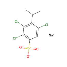 CC(C)c1c(Cl)cc(S(=O)(=O)[O-])c(Cl)c1Cl.[Na+]